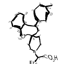 CCC(C(=O)O)N1CCC2(CC1)CC(c1ccc(C)cc1)c1ccccc1O2